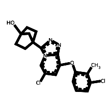 Cc1c(Cl)cccc1Oc1cc(Cl)cn2c(C34CCC(O)(CC3)C4)nnc12